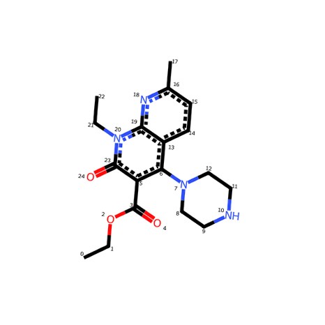 CCOC(=O)c1c(N2CCNCC2)c2ccc(C)nc2n(CC)c1=O